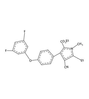 CCOC(=O)c1c(-c2ccc(Oc3cc(F)cc(F)c3)cc2)c(C#N)c(CC)n1C